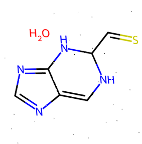 O.S=CC1NC=C2N=CN=C2N1